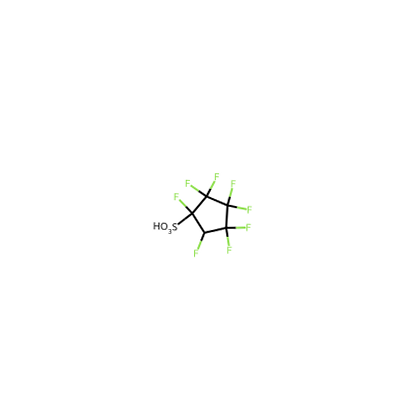 O=S(=O)(O)C1(F)C(F)C(F)(F)C(F)(F)C1(F)F